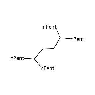 CCCCCC(CCCCC)CCC(CCCCC)CCCCC